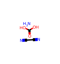 N.N#CC#N.O=C(O)O